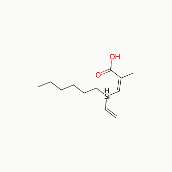 C=C[SiH](C=C(C)C(=O)O)CCCCCC